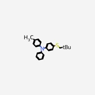 Cc1ccc(N(c2ccccc2)c2ccc(SCC(C)(C)C)cc2)cc1